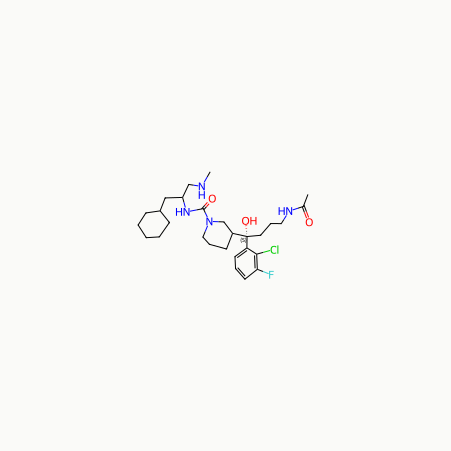 CNCC(CC1CCCCC1)NC(=O)N1CCCC([C@@](O)(CCCNC(C)=O)c2cccc(F)c2Cl)C1